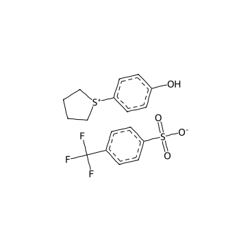 O=S(=O)([O-])c1ccc(C(F)(F)F)cc1.Oc1ccc([S+]2CCCC2)cc1